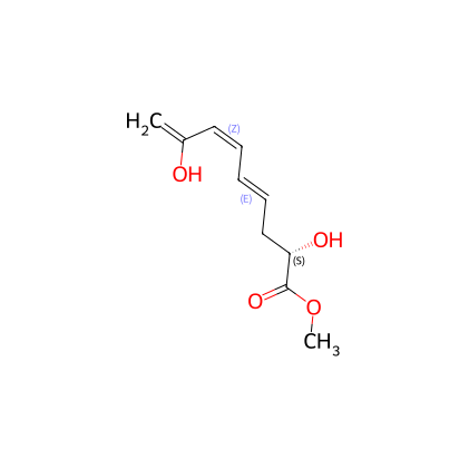 C=C(O)/C=C\C=C\C[C@H](O)C(=O)OC